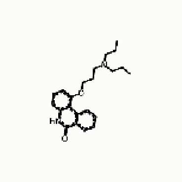 CCCN(CCC)CCCOc1cccc2[nH]c(=O)c3ccccc3c12